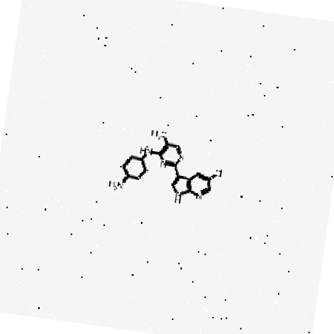 Cc1cnc(-c2c[nH]c3ncc(Cl)cc23)nc1NC1CCC(N)CC1